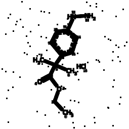 CCOC(=O)C(C)(C)c1ccc(NN)cc1.Cl